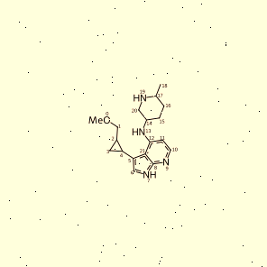 COCC1CC1c1c[nH]c2nccc(NC3CCC(C)NC3)c12